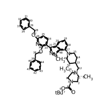 C[C@@H]1CN(C(=O)OC(C)(C)C)C[C@H](C)N1CC1CCN(c2cccc3c(-c4ccc(OCc5ccccc5)nc4OCc4ccccc4)nn(C)c23)CC1